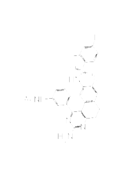 CC(=O)Nc1cccc(-c2nc(N)nc3c2-c2cc(NS(=O)(=O)c4ccc(F)cc4F)c(Cl)cc2CC3)c1